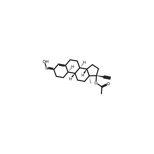 C#C[C@]1(OC(C)=O)CC[C@H]2[C@@H]3CCC4=C/C(=N\O)CC[C@@H]4[C@H]3CC[C@@]21C